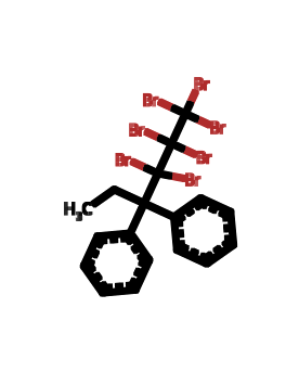 CCC(c1ccccc1)(c1ccccc1)C(Br)(Br)C(Br)(Br)C(Br)(Br)Br